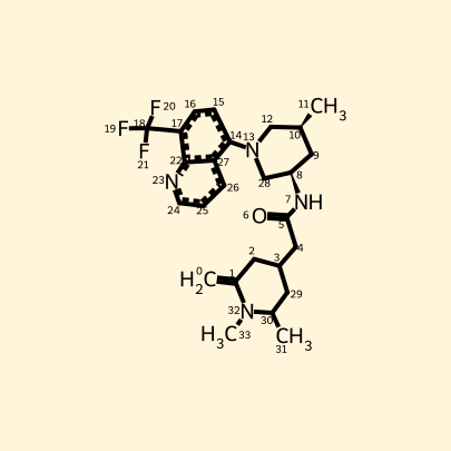 C=C1CC(CC(=O)N[C@@H]2C[C@H](C)CN(c3ccc(C(F)(F)F)c4ncccc34)C2)CC(C)N1C